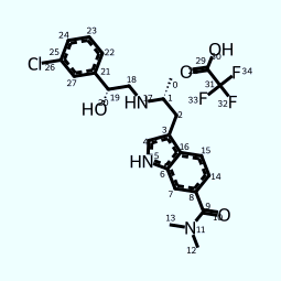 C[C@H](Cc1c[nH]c2cc(C(=O)N(C)C)ccc12)NC[C@H](O)c1cccc(Cl)c1.O=C(O)C(F)(F)F